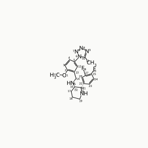 COc1ccc(-n2nnnc2C)cc1CN[C@H]1CCCN[C@H]1c1ccc(F)c(F)c1